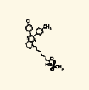 Cc1ccc(-c2nc3c(nc2-c2ccc(Cl)cc2)CCCN3CCCCCCC(=O)NS(C)(=O)=O)cc1